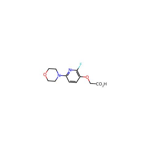 O=C(O)COc1ccc(N2CCOCC2)nc1F